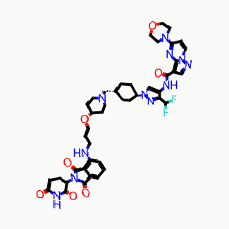 O=C1CCC(N2C(=O)c3cccc(NCCCOC4CCN(C[C@H]5CC[C@H](n6cc(NC(=O)c7cnn8ccc(N9CCOCC9)nc78)c(C(F)F)n6)CC5)CC4)c3C2=O)C(=O)N1